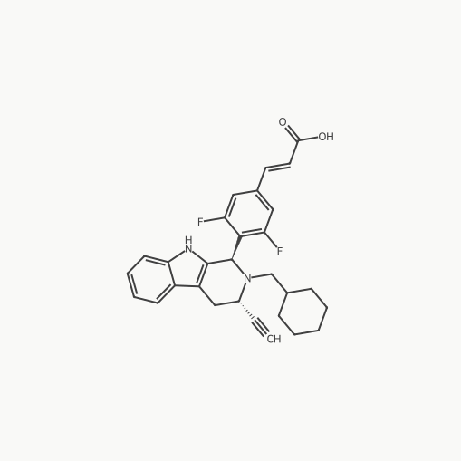 C#C[C@@H]1Cc2c([nH]c3ccccc23)[C@@H](c2c(F)cc(/C=C/C(=O)O)cc2F)N1CC1CCCCC1